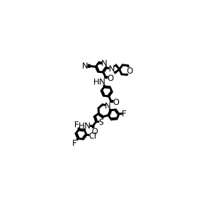 N#Cc1cnc(N2CC3(CCOCC3)C2)c(C(=O)Nc2ccc(C(=O)N3CCc4cc(C(=O)Nc5c(F)cc(F)cc5Cl)sc4-c4ccc(F)cc43)cc2)c1